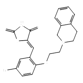 O=C1NC(=S)S/C1=C\c1cc(Br)ccc1OCCN1CCc2ccccc2C1